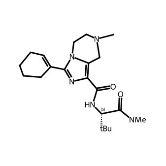 CNC(=O)[C@@H](NC(=O)c1nc(C2=CCCCC2)n2c1CN(C)CC2)C(C)(C)C